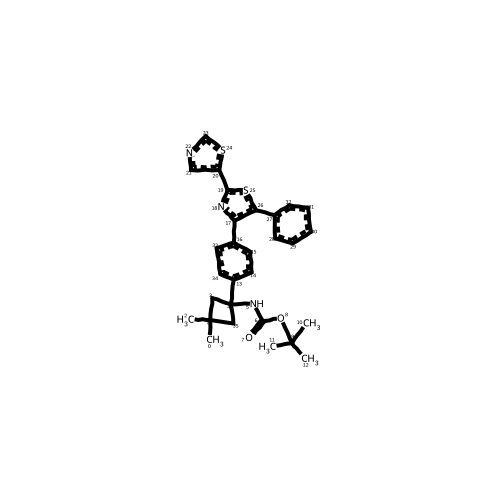 CC1(C)CC(NC(=O)OC(C)(C)C)(c2ccc(-c3nc(-c4cncs4)sc3-c3ccccc3)cc2)C1